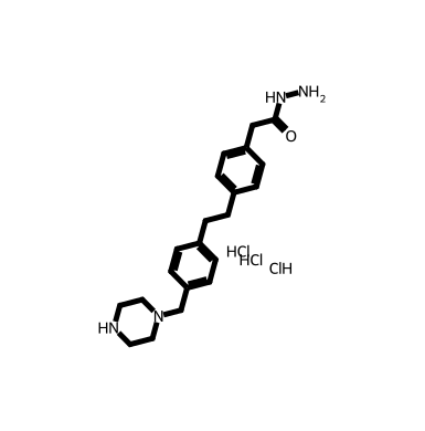 Cl.Cl.Cl.NNC(=O)Cc1ccc(CCc2ccc(CN3CCNCC3)cc2)cc1